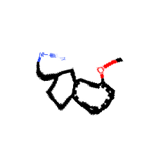 COc1cccc2c1CC(CN)CC2